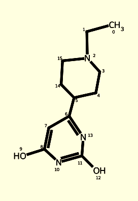 CCN1CCC(c2cc(O)nc(O)n2)CC1